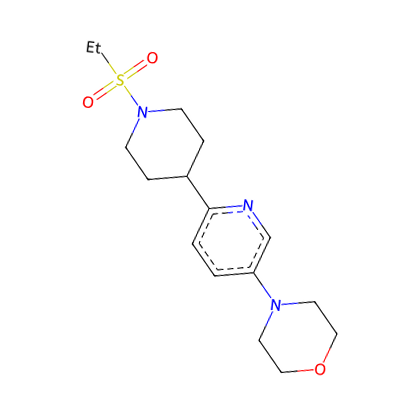 CCS(=O)(=O)N1CCC(c2ccc(N3CCOCC3)cn2)CC1